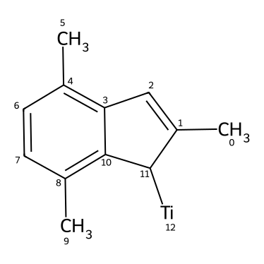 CC1=Cc2c(C)ccc(C)c2[CH]1[Ti]